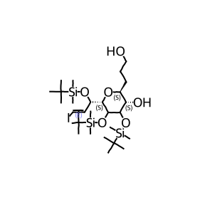 CC(C)(C)[Si](C)(C)OC(/C=C/I)[C@@H]1O[C@@H](CCCO)[C@H](O)C(O[Si](C)(C)C(C)(C)C)C1O[Si](C)(C)C(C)(C)C